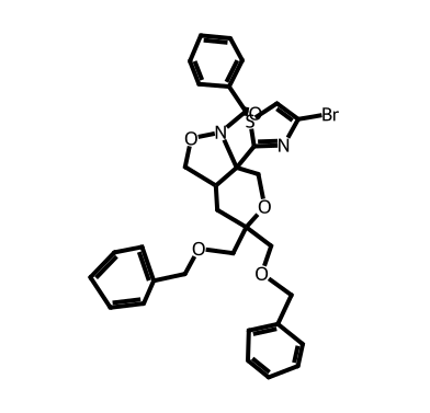 O=C(c1ccccc1)N1OCC2CC(COCc3ccccc3)(COCc3ccccc3)OCC21c1nc(Br)cs1